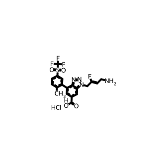 Cc1ccc(S(=O)(=O)C(F)(F)F)cc1-c1cc(C(=O)O)cc2c1nnn2C/C(F)=C/CN.Cl